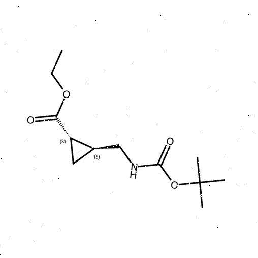 CCOC(=O)[C@H]1C[C@@H]1CNC(=O)OC(C)(C)C